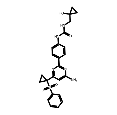 Nc1cc(C2(S(=O)(=O)c3ccccc3)CC2)nc(-c2ccc(NC(=O)NCC3(O)CC3)cc2)n1